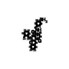 Bc1ccc(CNC(=O)N2[C@@H]3CN(Cc4ccccc4C)C(=O)C(Cc4ccccc4)N3C(=O)CN2C)cc1